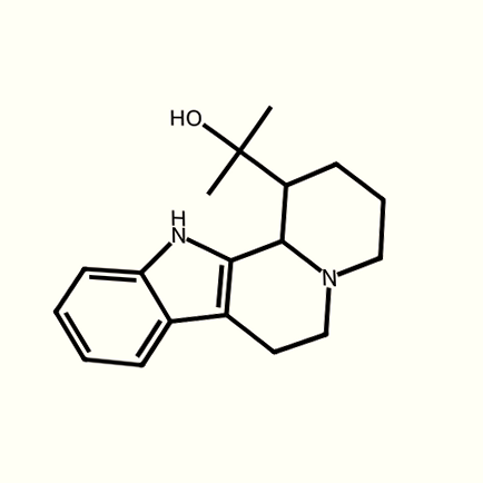 CC(C)(O)C1CCCN2CCc3c([nH]c4ccccc34)C12